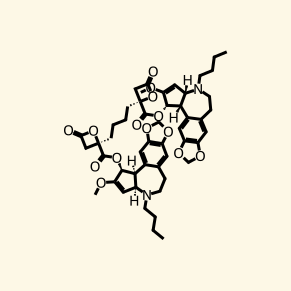 CCCCN1CCc2cc3c(cc2[C@@H]2[C@H](OC(=O)[C@@]4(CCCC[C@]5(C(=O)O[C@@H]6C(OC)=C[C@H]7[C@@H]6c6cc8c(cc6CCN7CCCC)OCO8)CC(=O)O5)CC(=O)O4)C(OC)=C[C@@H]21)OCO3